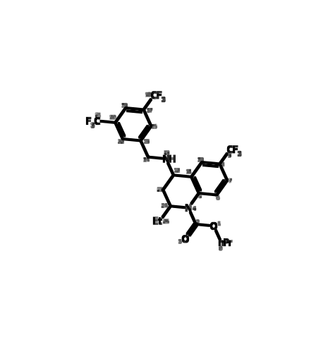 CCCOC(=O)N1c2ccc(C(F)(F)F)cc2C(NCc2cc(C(F)(F)F)cc(C(F)(F)F)c2)CC1CC